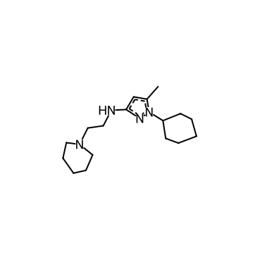 Cc1cc(NCCN2CCCCC2)nn1C1CCCCC1